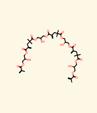 C=C(C)C(=O)OCC(O)COC(=O)C(=C)CC(C)(C)C(=O)OCC(O)COC(=O)C(=C)CC(C)(C)C(=O)OCC(O)COC(=O)C(=C)CC(C)(C)C(=O)OCC(O)COC(=O)C(=C)C